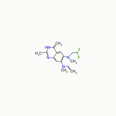 C=CN(C)c1cc2c(cc1N(C)CC(F)F)C(=C)NC(C)=N2